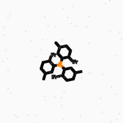 CC1CCC(C(C)C)C(P(C2CC(C)CCC2C(C)C)C2CC(C)CCC2C(C)C)C1